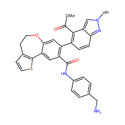 CCCn1cc2c(C(=O)OC)c(-c3cc4c(cc3C(=O)Nc3ccc(CN)cc3)-c3sccc3CCO4)ccc2n1